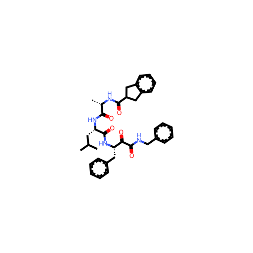 CC(C)C[C@H](NC(=O)[C@H](C)NC(=O)C1Cc2ccccc2C1)C(=O)N[C@@H](Cc1ccccc1)C(=O)C(=O)NCc1ccccc1